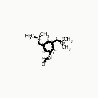 CN(C)Cc1cc(CN(C)C)cc(N=C=O)c1